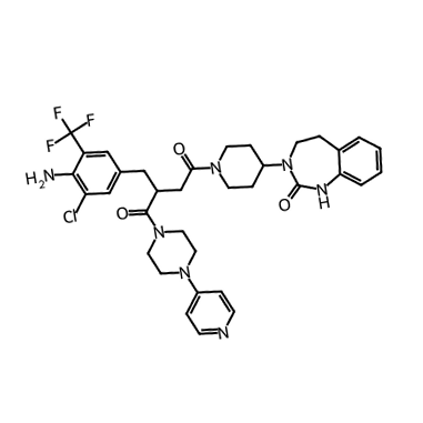 Nc1c(Cl)cc(CC(CC(=O)N2CCC(N3CCc4ccccc4NC3=O)CC2)C(=O)N2CCN(c3ccncc3)CC2)cc1C(F)(F)F